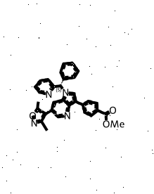 COC(=O)c1ccc(-c2cn([C@@H](c3ccccc3)c3ccccn3)c3cc(-c4c(C)noc4C)cnc23)cc1